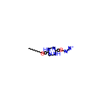 CCCCCCCCCCCCOc1ccc(-c2c3nc(cc4ccc([nH]4)c(-c4ccc(OCCC[N+](C)(C)CCC[N+](C)(C)C)cc4)c4nc(cc5ccc2[nH]5)C=C4)C=C3)cc1